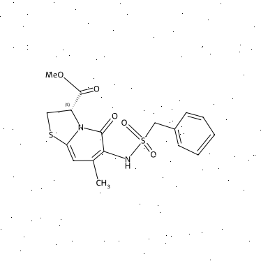 COC(=O)[C@H]1CSc2cc(C)c(NS(=O)(=O)Cc3ccccc3)c(=O)n21